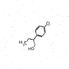 CCC(CO)c1ccc(Cl)cc1